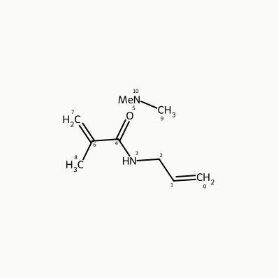 C=CCNC(=O)C(=C)C.CNC